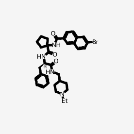 CCN1CCC(CNC(=O)[C@@H](Cc2ccccc2)NC(=O)C2(NC(=O)c3ccc4cc(Br)ccc4c3)CCCC2)CC1